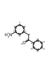 Nc1cccc(CC(=O)c2ccccc2)c1